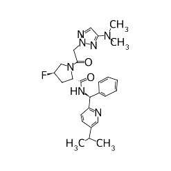 CC(C)c1ccc([C@@H](NC(=O)[C@@H]2C[C@@H](F)CN2C(=O)Cn2ncc(N(C)C)n2)c2ccccc2)nc1